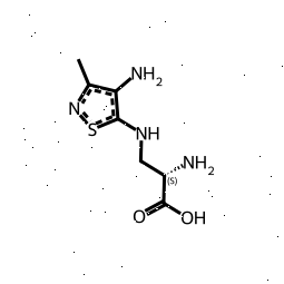 Cc1nsc(NC[C@H](N)C(=O)O)c1N